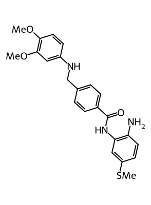 COc1ccc(NCc2ccc(C(=O)Nc3cc(SC)ccc3N)cc2)cc1OC